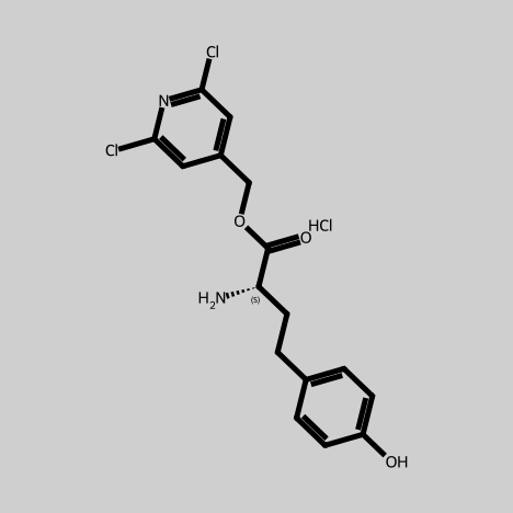 Cl.N[C@@H](CCc1ccc(O)cc1)C(=O)OCc1cc(Cl)nc(Cl)c1